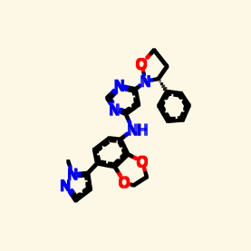 Cn1nccc1-c1ccc(Nc2cc(N3OCC[C@@H]3c3ccccc3)ncn2)c2c1OCCO2